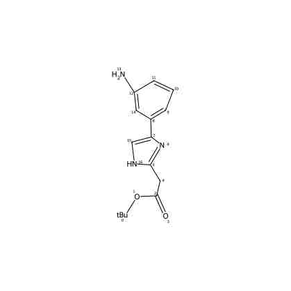 CC(C)(C)OC(=O)Cc1nc(-c2cccc(N)c2)c[nH]1